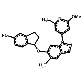 COc1cc(-n2ncc3cc(C)c(OC4CCc5cc(C#N)ccc54)cc32)cc(C)n1